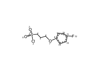 O=S(=O)(Cl)CCCOc1ccc(F)cc1